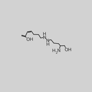 C=C(O)/C=C\CCCNNCCCC(N)CO